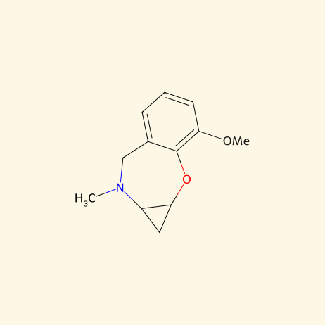 COc1cccc2c1OC1CC1N(C)C2